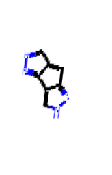 C1=NN=C2C1=Cc1n[nH]cc12